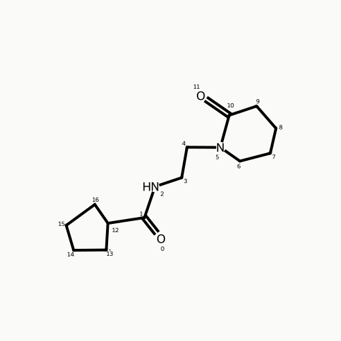 O=C(NCCN1CCCCC1=O)C1[CH]CCC1